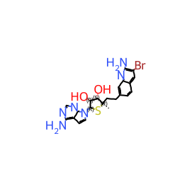 C[C@]1(CCc2ccc3cc(Br)c(N)nc3c2)S[C@@H](n2ccc3c(N)ncnc32)[C@H](O)[C@@H]1O